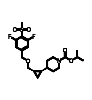 CC(C)OC(=O)N1CCC([C@H]2C[C@H]2COCc2cc(F)c(S(C)(=O)=O)c(F)c2)CC1